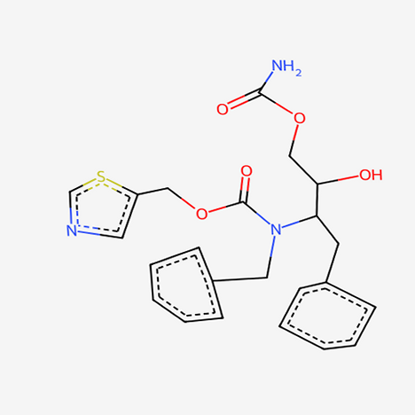 NC(=O)OCC(O)C(Cc1ccccc1)N(Cc1ccccc1)C(=O)OCc1cncs1